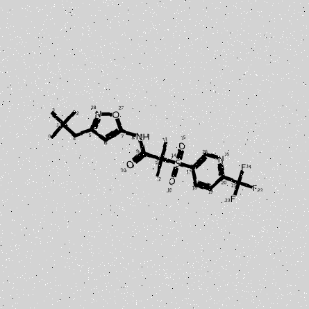 CC(C)(C)Cc1cc(NC(=O)C(C)(C)S(=O)(=O)c2ccc(C(F)(F)F)nc2)on1